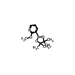 CC1(C)OB(c2cccnc2OC(F)(F)F)OC1(C)C